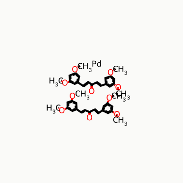 COc1cc(/C=C/C(=O)/C=C/c2cc(OC)cc(OC)c2)cc(OC)c1.COc1cc(/C=C/C(=O)/C=C/c2cc(OC)cc(OC)c2)cc(OC)c1.[Pd]